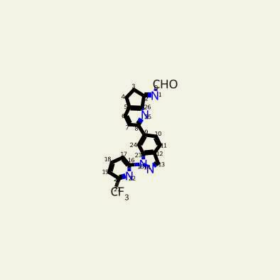 O=C/N=C1\CCc2ccc(-c3ccc4cnn(-c5cccc(C(F)(F)F)n5)c4c3)nc21